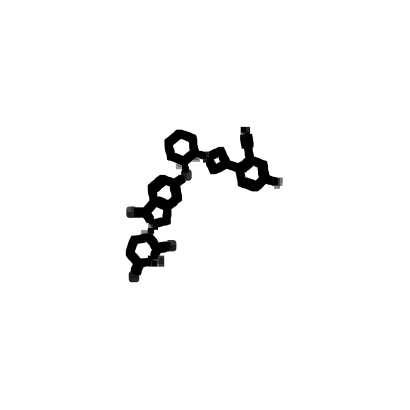 N#Cc1cc(F)ccc1C1CN([C@@H]2CCCC[C@@H]2Oc2ccc3c(c2)CN([C@H]2CCC(=O)NC2=O)C3=O)C1